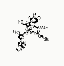 COCCOC1[C@H](n2ccc(=O)[nH]c2=O)O[C@H](CO)[C@H]1OP(=O)(OC[C@H]1O[C@@H](n2cnc3c(N)ncnc32)C[C@@H]1O)SCOC(=O)OCC(C)(C)C